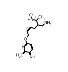 C=C1N=C(OC/C=C\CC(CN)C(C)NC)C=CC1=N